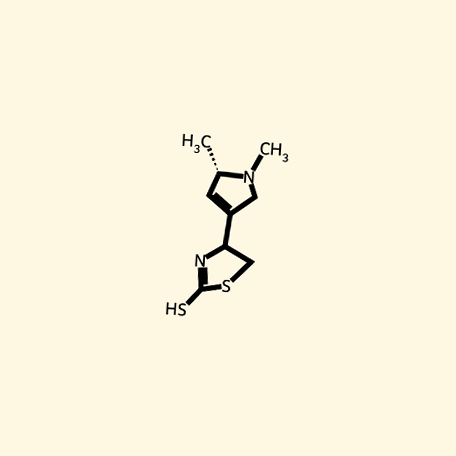 C[C@H]1C=C(C2CSC(S)=N2)CN1C